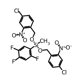 C[Si](OCc1ccc(Cl)cc1[N+](=O)[O-])(OCc1ccc(Cl)cc1[N+](=O)[O-])c1cc(F)c(F)cc1F